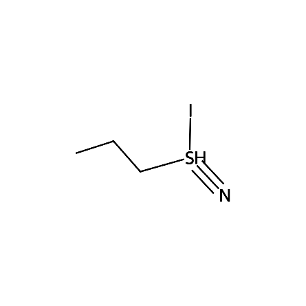 CCC[SH](#N)I